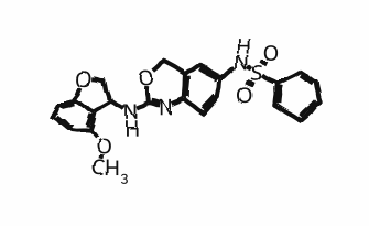 COc1cccc2c1C(NC1=Nc3ccc(NS(=O)(=O)c4ccccc4)cc3CO1)CO2